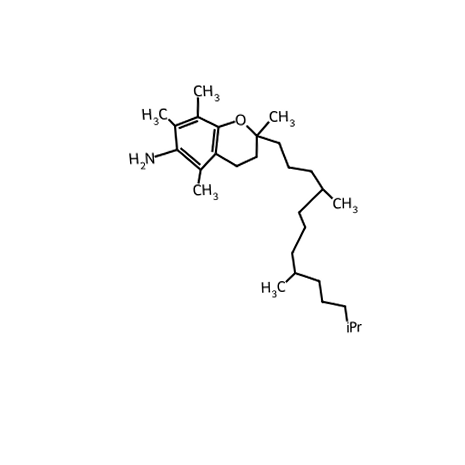 Cc1c(C)c2c(c(C)c1N)CCC(C)(CCCC(C)CCCC(C)CCCC(C)C)O2